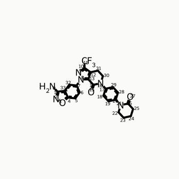 Nc1noc2ccc(-n3nc(C(F)(F)F)c4c3C(=O)N(c3ccc(N5CCCCC5=O)cc3)CC4)cc12